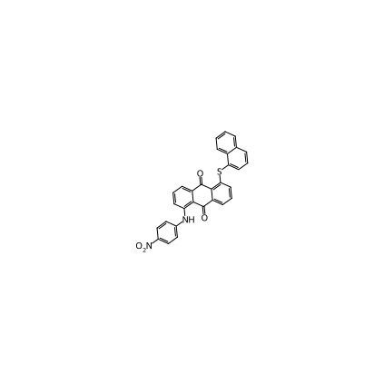 O=C1c2cccc(Sc3cccc4ccccc34)c2C(=O)c2cccc(Nc3ccc([N+](=O)[O-])cc3)c21